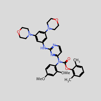 COc1ccc(N(C(=O)Oc2c(C)cccc2C)c2ccnc(Nc3cc(N4CCOCC4)cc(N4CCOCC4)c3)n2)c(OC)c1